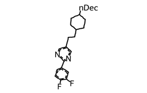 CCCCCCCCCCC1CCC(CCc2cnc(-c3ccc(F)c(F)c3)nc2)CC1